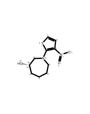 O=[N+]([O-])c1ccsc1N1CCCC[C@H](O)C1